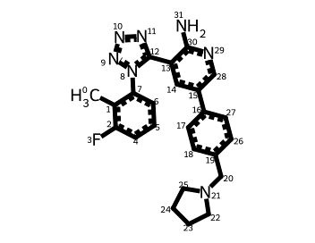 Cc1c(F)cccc1-n1nnnc1-c1cc(-c2ccc(CN3CCCC3)cc2)cnc1N